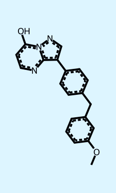 COc1cccc(Cc2ccc(-c3cnn4c(O)ccnc34)cc2)c1